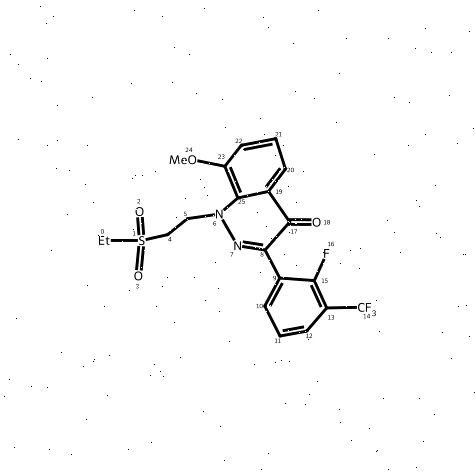 CCS(=O)(=O)CCn1nc(-c2cccc(C(F)(F)F)c2F)c(=O)c2cccc(OC)c21